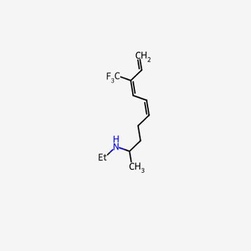 C=C/C(=C\C=C/CCC(C)NCC)C(F)(F)F